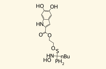 CCCCC(P)(NO)SOCCOC(=O)c1cc2cc(O)c(O)cc2[nH]1